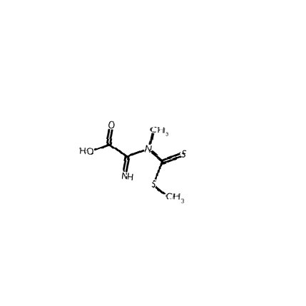 CSC(=S)N(C)C(=N)C(=O)O